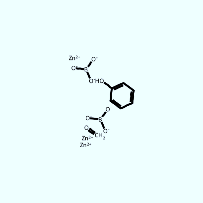 C=O.Oc1ccccc1.[O-]B([O-])[O-].[O-]B([O-])[O-].[Zn+2].[Zn+2].[Zn+2]